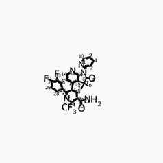 CC1(C)C(=O)N(c2ccccn2)c2nccc(-c3cc(C(N)=O)c(C(F)(F)F)nc3-c3ccc(F)c(F)c3)c21